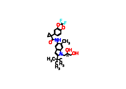 Cc1cc2c(cc1NC(=O)C1(c3ccc4c(c3)OC(F)(F)O4)CC1)cc(C(C)(C)C)n2C[C@@H](O)CO